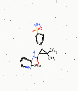 COc1ncccc1NC(=O)[C@H]1[C@H](c2ccc(S(N)(=O)=O)cc2)C1(C)C